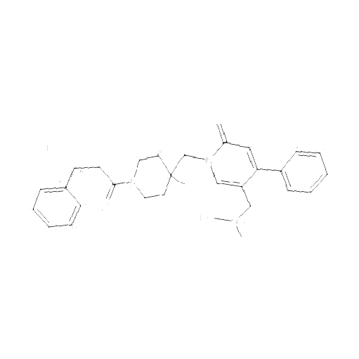 C[C@H](CC(=O)N1CCC(O)(Cn2cc(CN(C)C)c(-c3ccccc3)cc2=O)CC1)c1ccccc1